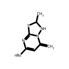 C=C1C=C(CCCC)N=C2SC(C)NN12